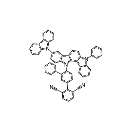 N#Cc1cccc(C#N)c1-c1ccc(-n2c3ccc(-n4c5ccccc5c5ccccc54)cc3c3ccc4c(c5ccccc5n4-c4ccccc4)c32)c(-c2ccccc2)c1